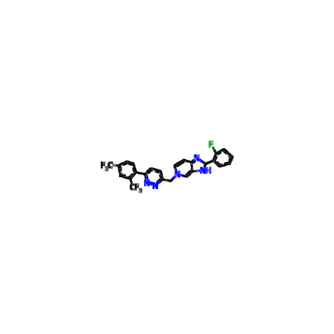 Fc1ccccc1C1N=C2C=CN(Cc3ccc(-c4ccc(C(F)(F)F)cc4C(F)(F)F)nn3)C=C2N1